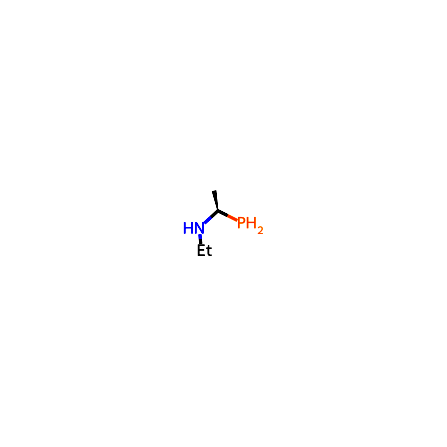 CCN[C@@H](C)P